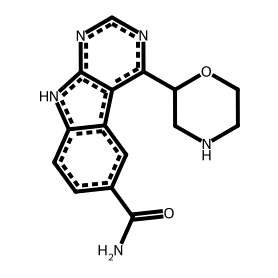 NC(=O)c1ccc2[nH]c3ncnc(C4CNCCO4)c3c2c1